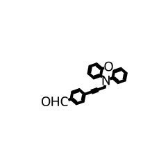 O=Cc1ccc(C#CCN2c3ccccc3Oc3ccccc32)cc1